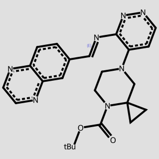 CC(C)(C)OC(=O)N1CCN(c2ccnnc2/N=C/c2ccc3nccnc3c2)CC12CC2